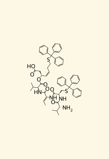 C/C=C(\NC(=O)[C@@H](CSC(c1ccccc1)(c1ccccc1)c1ccccc1)NC(=O)[C@H](N)C(C)C)C(=O)N[C@H](C(=O)O[C@H](/C=C\CCSC(c1ccccc1)(c1ccccc1)c1ccccc1)CC(=O)O)C(C)C